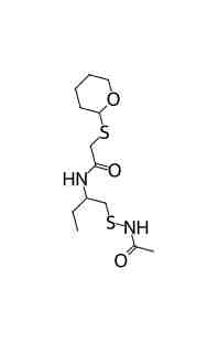 CCC(CSNC(C)=O)NC(=O)CSC1CCCCO1